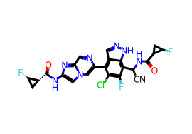 N#CC(NC(=O)C1CC1F)c1c(F)c(Cl)c(-c2cn3cc(NC(=O)[C@@H]4C[C@@H]4F)nc3cn2)c2cn[nH]c12